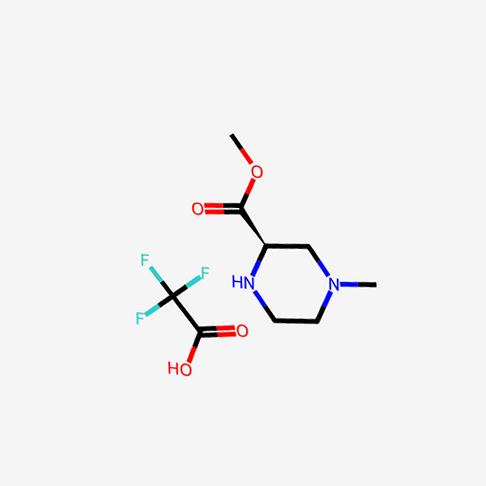 COC(=O)[C@H]1CN(C)CCN1.O=C(O)C(F)(F)F